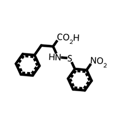 O=C(O)C(Cc1ccccc1)NSc1ccccc1[N+](=O)[O-]